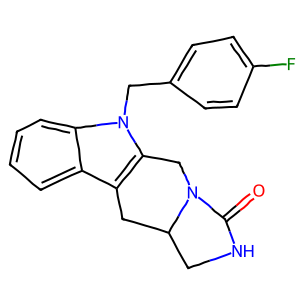 O=C1NCC2Cc3c(n(Cc4ccc(F)cc4)c4ccccc34)CN12